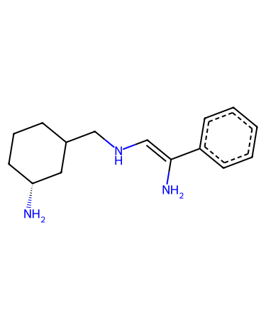 N/C(=C\NCC1CCC[C@@H](N)C1)c1ccccc1